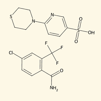 NC(=O)c1ccc(Cl)cc1C(F)(F)F.O=S(=O)(O)c1ccc(N2CCSCC2)nc1